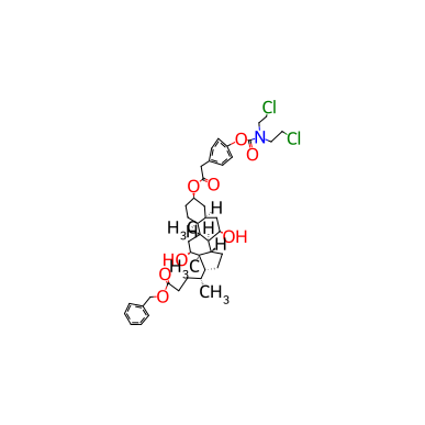 C[C@H](CCC(=O)OCc1ccccc1)[C@H]1CC[C@H]2[C@@H]3[C@H](O)C[C@@H]4C[C@H](OC(=O)Cc5ccc(OC(=O)N(CCCl)CCCl)cc5)CC[C@]4(C)[C@H]3C[C@H](O)[C@]12C